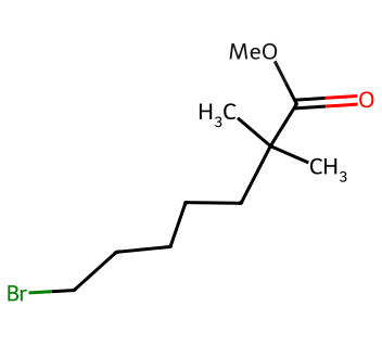 COC(=O)C(C)(C)CCCCCBr